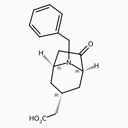 O=C(O)C[C@@H]1C[C@H]2CC(=O)[C@@H](C1)N2Cc1ccccc1